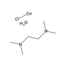 CN(C)CCN(C)C.O.[Cl][Cu]